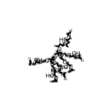 CC(CCOC(C)CC(O)CN1CC1C)OCC(COCCOCC(O)CN1CC1C)(COCCOCC(O)CN1CC1C)COCC(COCCOCC(O)CN1CC1C)(COCCOCC(O)CN1CC1C)COCCOCC(O)CN1CC1C